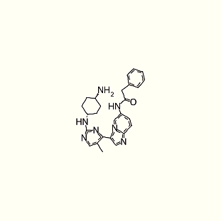 Cc1cnc(N[C@H]2CC[C@H](N)CC2)nc1-c1cnc2ccc(NC(=O)Cc3ccccc3)cn12